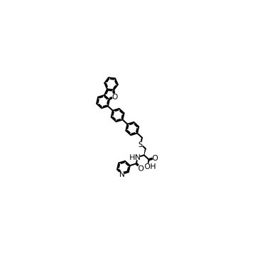 O=C(N[C@@H](CSCc1ccc(-c2ccc(-c3cccc4c3oc3ccccc34)cc2)cc1)C(=O)O)c1cccnc1